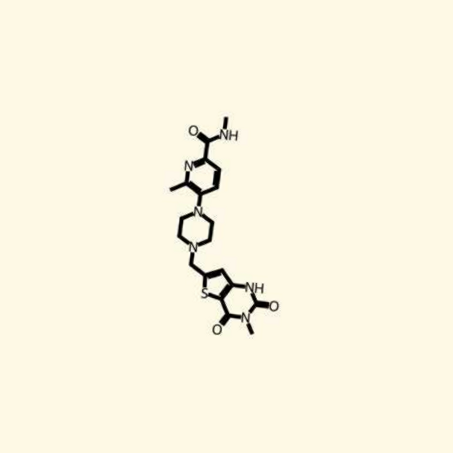 CNC(=O)c1ccc(N2CCN(Cc3cc4[nH]c(=O)n(C)c(=O)c4s3)CC2)c(C)n1